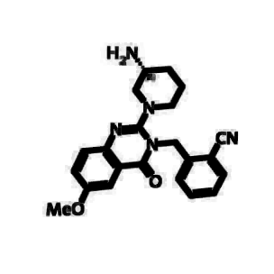 COc1ccc2nc(N3CCC[C@@H](N)C3)n(Cc3ccccc3C#N)c(=O)c2c1